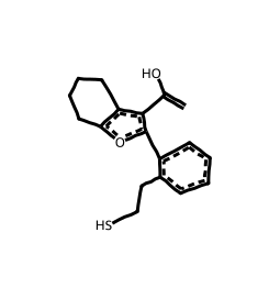 C=C(O)c1c(-c2ccccc2CCS)oc2c1CCCC2